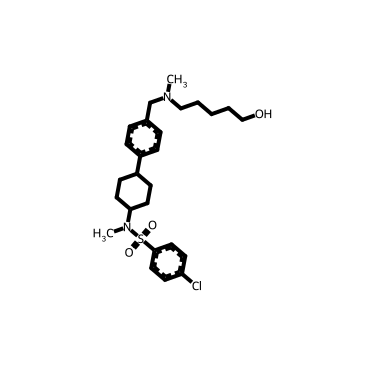 CN(CCCCCO)Cc1ccc(C2CCC(N(C)S(=O)(=O)c3ccc(Cl)cc3)CC2)cc1